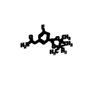 CC1(C)OB(c2cc(F)cc(CC(N)=O)c2)OC1(C)C